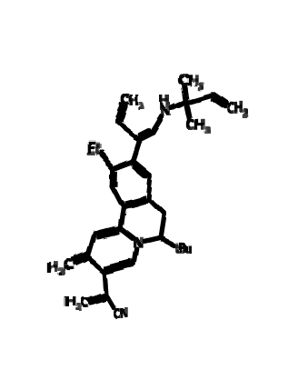 C=C/C(=C\NC(C)(C)C=C)c1cc2c(cc1CC)C1=CC(=C)C(C(=C)C#N)=CN1C(C(C)(C)C)C2